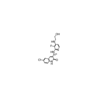 C[C@H](Nc1nccc(NCCO)c1F)c1cc2cc(Cl)ccc2[nH]c1=O